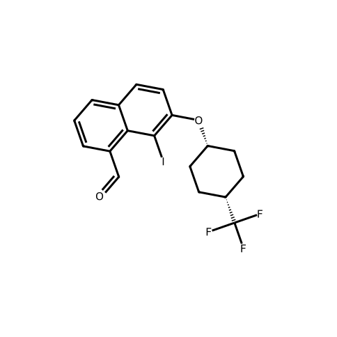 O=Cc1cccc2ccc(O[C@H]3CC[C@@H](C(F)(F)F)CC3)c(I)c12